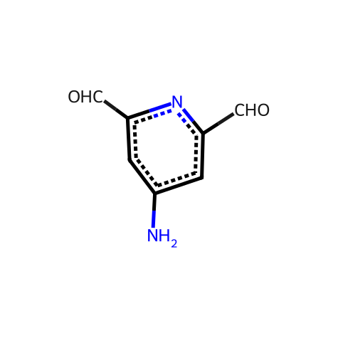 Nc1cc(C=O)nc(C=O)c1